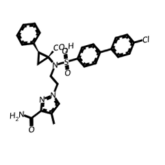 Cc1cn(CCN([C@]2(C(=O)O)C[C@H]2c2ccccc2)S(=O)(=O)c2ccc(-c3ccc(Cl)cc3)cc2)nc1C(N)=O